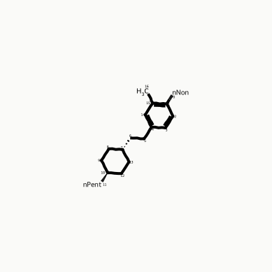 CCCCCCCCCc1ccc(CC[C@H]2CC[C@H](CCCCC)CC2)cc1C